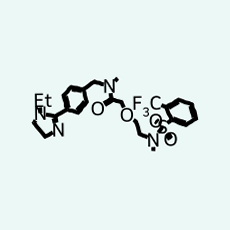 CCN1CCN=C1c1ccc(CN(C)C(=O)COCCN(C)S(=O)(=O)c2ccccc2C(F)(F)F)cc1